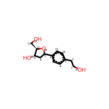 OCCc1ccc(C2C[C@H](O)[C@@H](CO)O2)cc1